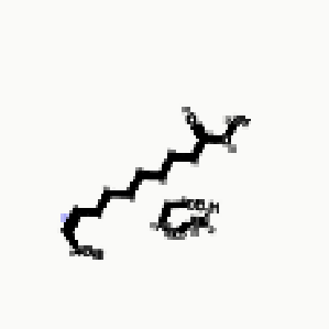 CC(=O)CC(=O)O.CCCCCCCC/C=C\CCCCCCCC(=O)OC(C)C.C[CH2][AlH2]